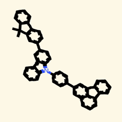 CC1(C)c2ccccc2-c2ccc(-c3ccc4c(c3)c3ccccc3n4-c3ccc(-c4cc5c6c(cccc6c4)-c4ccccc4-5)cc3)cc21